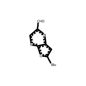 CC(C)(C)c1cc2nc(C=O)cnc2o1